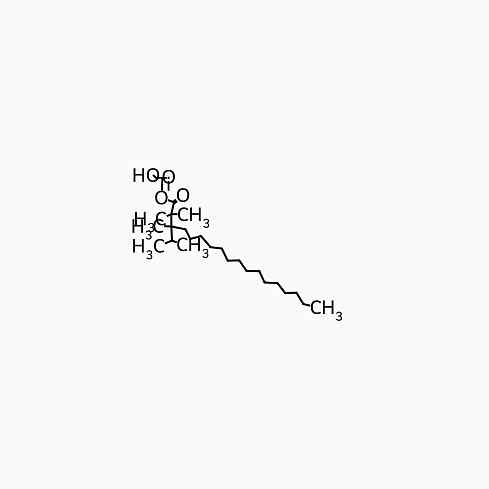 CCCCCCCCCCCCCCCC(C)(C(C)C)C(C)(C)C(=O)[O][Ti](=[O])[OH]